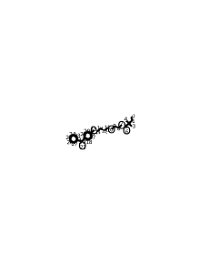 CCC(C)(C)C(=O)OCCOCCCCOc1ccc(C(=O)c2ccccc2)cc1